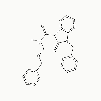 C[C@@H](COCc1ccccc1)C(=O)C1C(=O)N(Cc2ccccc2)c2ccccc21